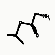 C[C](C)OC(=O)CN